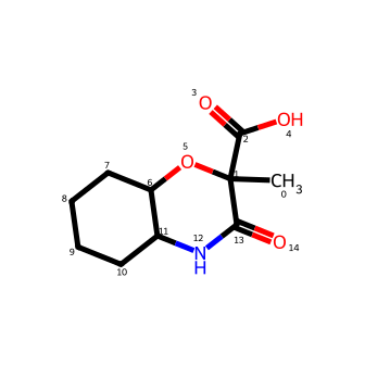 CC1(C(=O)O)OC2CCCCC2NC1=O